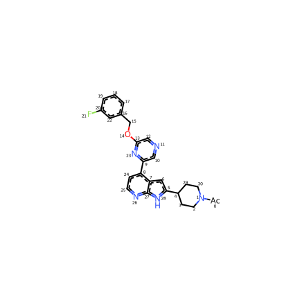 CC(=O)N1CCC(c2cc3c(-c4cncc(OCc5cccc(F)c5)n4)ccnc3[nH]2)CC1